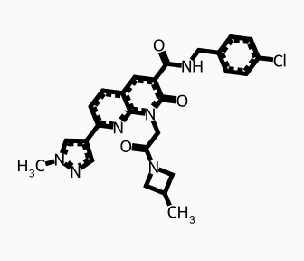 CC1CN(C(=O)Cn2c(=O)c(C(=O)NCc3ccc(Cl)cc3)cc3ccc(-c4cnn(C)c4)nc32)C1